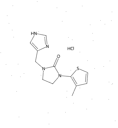 Cc1ccsc1N1CCN(Cc2c[nH]cn2)C1=O.Cl